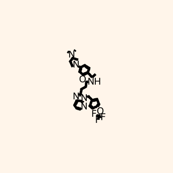 CC(NC(=O)CCc1nc2cccnc2n1Cc1ccc(OC(F)(F)F)cc1)c1ccc(N2CC[C@H](N(C)C)C2)cc1